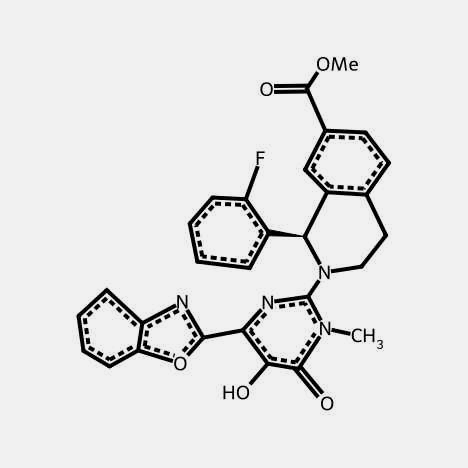 COC(=O)c1ccc2c(c1)[C@H](c1ccccc1F)N(c1nc(-c3nc4ccccc4o3)c(O)c(=O)n1C)CC2